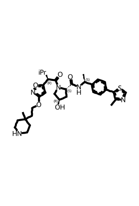 Cc1ncsc1-c1ccc([C@H](C)NC(=O)[C@@H]2C[C@@H](O)CN2C(=O)[C@@H](c2cc(OCCC3(C)CCNCC3)no2)C(C)C)cc1